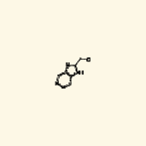 ClCc1nc2cnccc2[nH]1